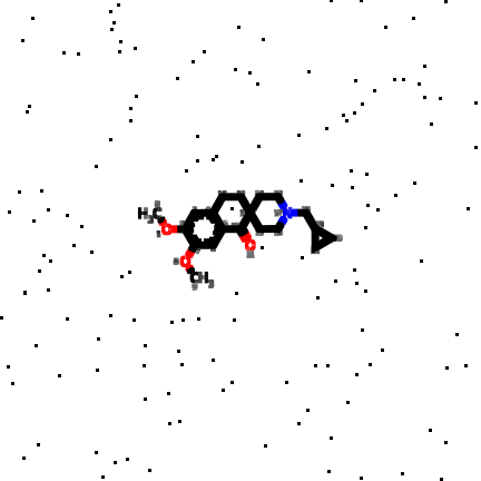 COc1cc2c(cc1OC)C(=O)C1(CC2)CCN(CC2CC2)CC1